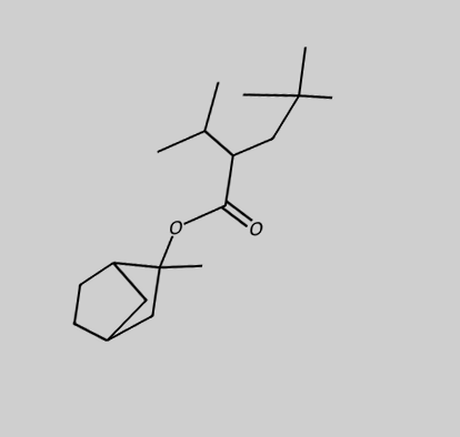 CC(C)C(CC(C)(C)C)C(=O)OC1(C)CC2CCC1C2